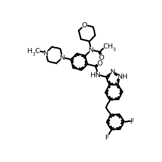 CC(=O)N(c1cc(N2CCN(C)CC2)ccc1C(=O)Nc1n[nH]c2ccc(Cc3cc(F)cc(F)c3)cc12)C1CCOCC1